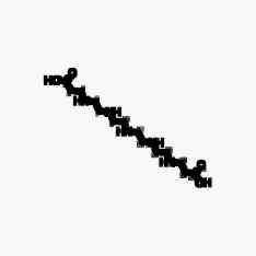 O=C(O)CCNCCNCCNCCNCCNCCC(=O)O